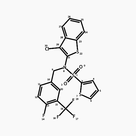 O=S(=O)(c1cccs1)N(Cc1ccc(F)c(C(F)(F)F)c1)c1sc2ccccc2c1Cl